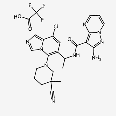 CC(NC(=O)c1c(N)nn2cccnc12)c1cc(Cl)c2cncn2c1N1CCCC(C)(C#N)C1.O=C(O)C(F)(F)F